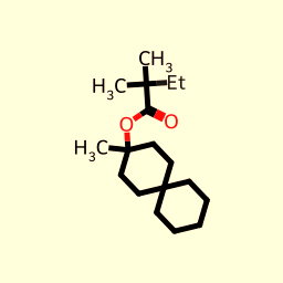 CCC(C)(C)C(=O)OC1(C)CCC2(CCCCC2)CC1